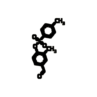 Cc1ccc(S(=O)(=O)Oc2ccc(C=O)cc2C)cc1